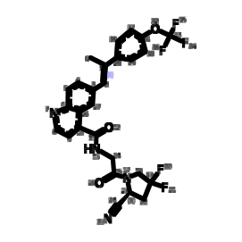 C/C(=C\c1ccc2nccc(C(=O)NCC(=O)N3CC(F)(F)C[C@H]3C#N)c2c1)c1ccc(OC(F)(F)F)cc1